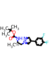 C[C@@H](Cn1cc(-c2ccc(F)c(F)c2)cn1)NC(=O)OC(C)(C)C